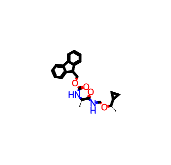 C[C@H](NC(=O)OCC1c2ccccc2-c2ccccc21)C(=O)NCO[C@@H](C)C1CC1